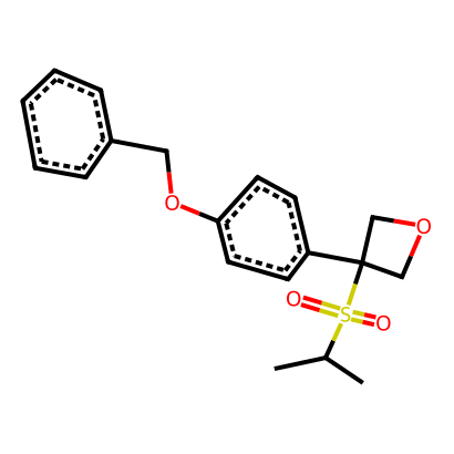 CC(C)S(=O)(=O)C1(c2ccc(OCc3ccccc3)cc2)COC1